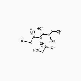 O=CCO.OC[C@@H](O)[C@@H](O)[C@H](O)[C@@H](O)CO